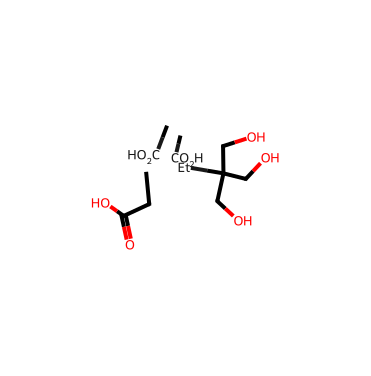 CC(=O)O.CC(=O)O.CCC(=O)O.CCC(CO)(CO)CO